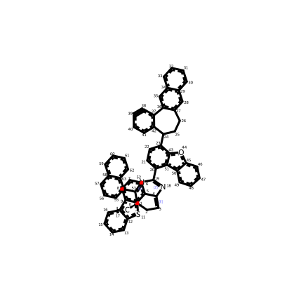 C[C@@H]1C/C=C(c2cccc3c2sc2ccccc23)/N=C(c2ccc(C3CCc4cc5ccccc5cc4-c4c#cccc43)c3oc4ccccc4c23)\N=C/1c1cccc2ccccc12